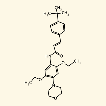 CCOc1cc(N2CCOCC2)c(OCC)cc1NC(=O)/C=C/c1ccc(C(C)(C)C)cc1